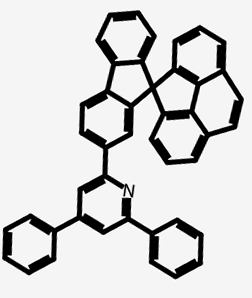 c1ccc(-c2cc(-c3ccccc3)nc(-c3ccc4c(c3)C3(c5ccccc5-4)c4cccc5ccc6cccc3c6c45)c2)cc1